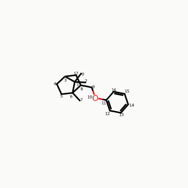 CC1(C)C2CCC1(C)C([CH]Oc1ccccc1)C2